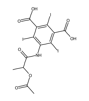 CC(=O)OC(C)C(=O)Nc1c(I)c(C(=O)O)c(I)c(C(=O)O)c1I